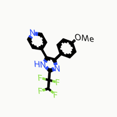 COc1ccc(-c2nc(C(F)(F)C(F)F)[nH]c2-c2ccncc2)cc1